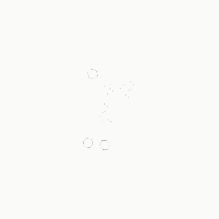 CC(C)(C)OC(=O)NCCCCC(NC(=O)OCC1c2ccccc2-c2ccccc21)C(=O)N1CCC(NC(=O)OCc2ccccc2)(C(=O)O)CC1